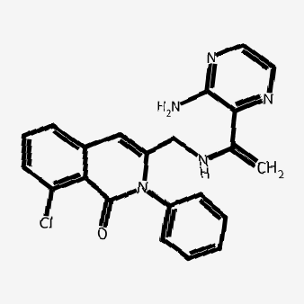 C=C(NCc1cc2cccc(Cl)c2c(=O)n1-c1ccccc1)c1nccnc1N